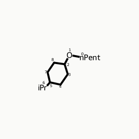 CCCCCOC1CCC(C(C)C)CC1